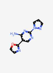 Nc1nc(-n2cccn2)ncc1-c1ncco1